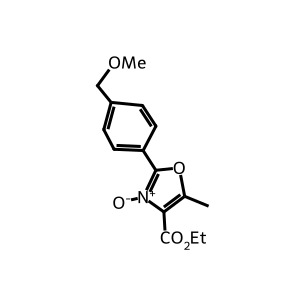 CCOC(=O)c1c(C)oc(-c2ccc(COC)cc2)[n+]1[O-]